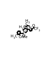 COc1c(C)cccc1C(=O)N1CCC2(CC1)c1ccc(C(=O)C(F)(F)F)n1C[C@H](C)N2C